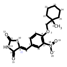 CC1(COc2ccc(/C=C3\SC(=O)NC3=O)cc2[N+](=O)[O-])CCCCC1